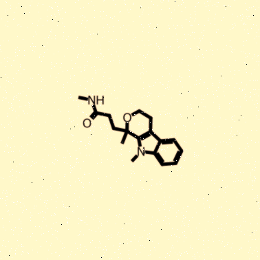 CNC(=O)CCC1(C)OCCc2c1n(C)c1ccccc21